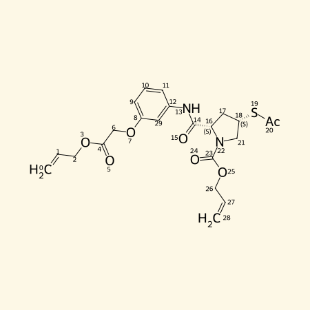 C=CCOC(=O)COc1cccc(NC(=O)[C@@H]2C[C@H](SC(C)=O)CN2C(=O)OCC=C)c1